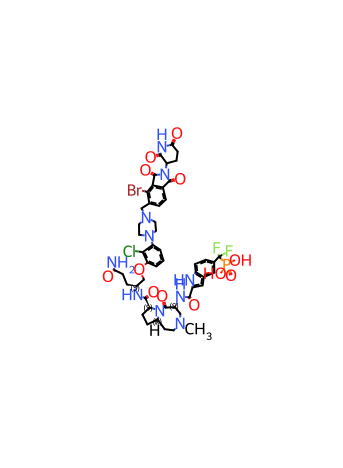 CN1CC[C@H]2CC[C@@H](C(=O)N[C@@H](CCC(N)=O)COc3cccc(N4CCN(Cc5ccc6c(c5Br)C(=O)N(C5CCC(=O)NC5=O)C6=O)CC4)c3Cl)N2C(=O)[C@@H](NC(=O)c2cc3cc(C(F)(F)P(=O)(O)O)ccc3[nH]2)C1